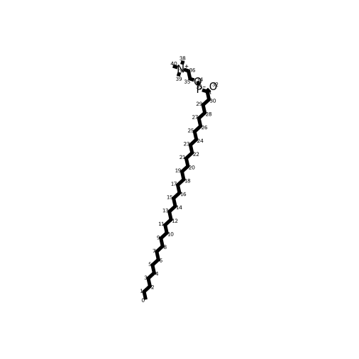 CCCCCCCCCCCCCCCCCCCCCCCCCCCCCCCC(=O)[P-]OCC[N+](C)(C)C